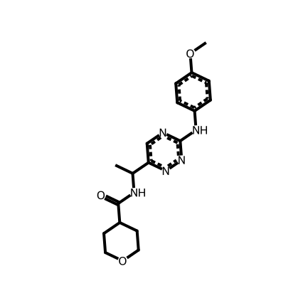 COc1ccc(Nc2ncc(C(C)NC(=O)C3CCOCC3)nn2)cc1